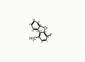 Cc1ccc(I)c2oc3ccccc3c12